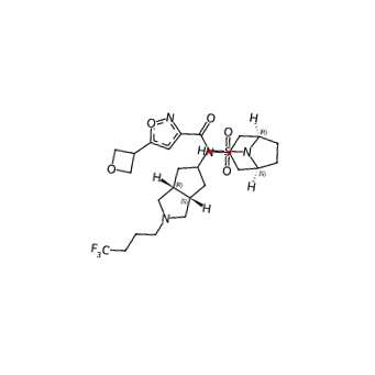 O=C(NC1C[C@H]2CC[C@@H](C1)N2S(=O)(=O)CC1C[C@@H]2CN(CCCC(F)(F)F)C[C@@H]2C1)c1cc(C2COC2)on1